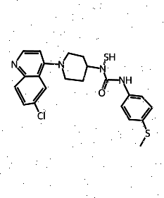 CSc1ccc(NC(=O)N(S)C2CCN(c3ccnc4ccc(Cl)cc34)CC2)cc1